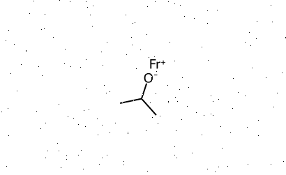 CC(C)[O-].[Fr+]